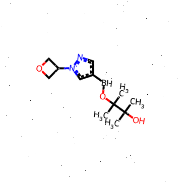 CC(C)(O)C(C)(C)OBc1cnn(C2COC2)c1